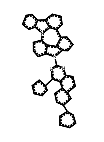 c1ccc(-c2ccc3c(ccc4nc(-n5c6cccc7c8cccc9c%10ccccc%10n(c%10cccc5c%10c76)c89)nc(-c5ccccc5)c43)c2)cc1